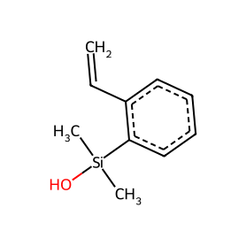 C=Cc1ccccc1[Si](C)(C)O